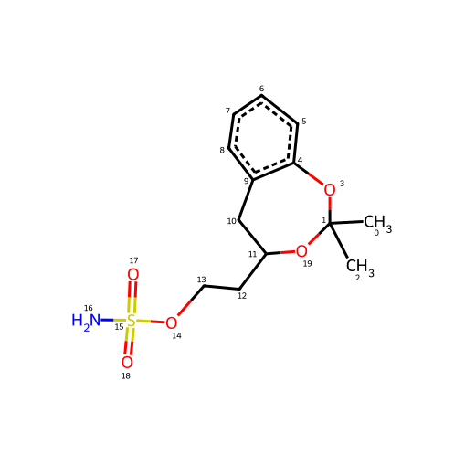 CC1(C)Oc2ccccc2CC(CCOS(N)(=O)=O)O1